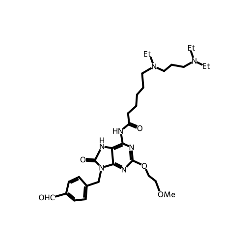 CCN(CC)CCCN(CC)CCCCCC(=O)Nc1nc(OCCOC)nc2c1[nH]c(=O)n2Cc1ccc(C=O)cc1